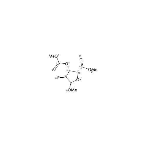 COC(=O)O[C@H]1[C@H](F)C(OC)O[C@H]1C(=O)OC